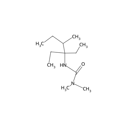 CCC(C)C(CC)(CC)NC(=O)N(C)C